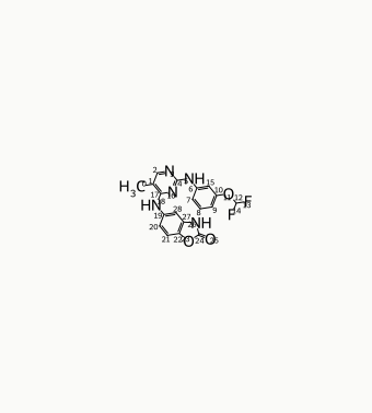 Cc1cnc(Nc2cccc(OC(F)F)c2)nc1Nc1ccc2oc(=O)[nH]c2c1